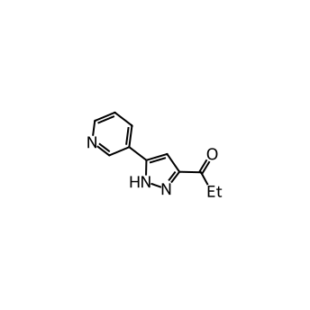 CCC(=O)c1cc(-c2cccnc2)[nH]n1